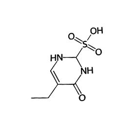 CCC1=CNC(S(=O)(=O)O)NC1=O